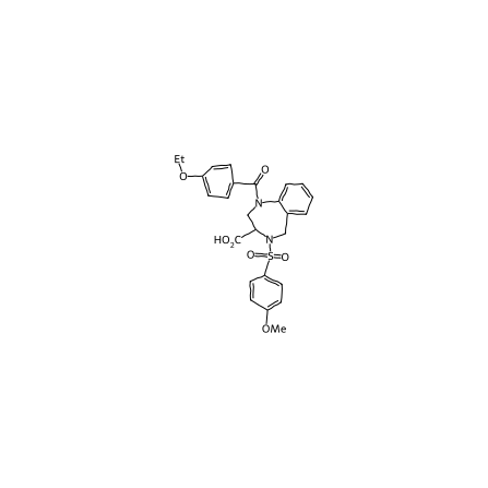 CCOc1ccc(C(=O)N2CC(C(=O)O)N(S(=O)(=O)c3ccc(OC)cc3)Cc3ccccc32)cc1